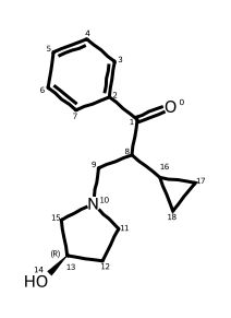 O=C(c1ccccc1)C(CN1CC[C@@H](O)C1)C1CC1